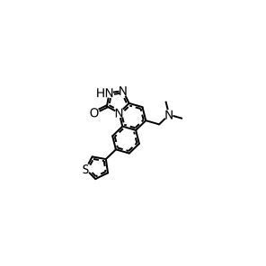 CN(C)Cc1cc2n[nH]c(=O)n2c2cc(-c3ccsc3)ccc12